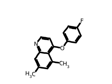 Cc1cc(C)c2c(Oc3ccc(F)cc3)ccnc2c1